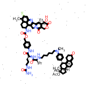 CC[C@@]1(O)C(=O)OCc2c1cc1n(c2=O)Cc2c-1nc1cc(F)c(C)c3c1c2C(NC(=O)OCc1ccc(NC(=O)[C@H](CCCNC(N)=O)NC(=O)[C@@H](NCCCCCCN(C)c2ccc([C@H]4C[C@@]5(C)[C@@H](CC[C@]5(OC(C)=O)C(C)=O)[C@@H]5CCC6=CC(=O)CCC6=C54)cc2)C(C)C)cc1)CC3